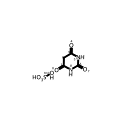 O=C1CC(=O)NC(=O)N1.O=S(=O)(O)O